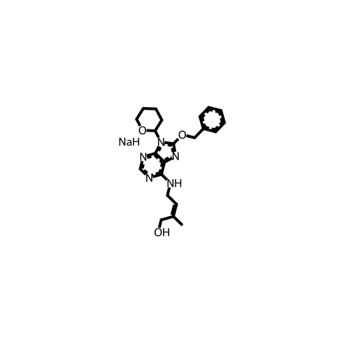 CC(=CCNc1ncnc2c1nc(OCc1ccccc1)n2C1CCCCO1)CO.[NaH]